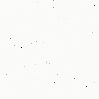 CC(=O)c1cccc(-c2ccc([N+](=O)[O-])c(NCc3ccccc3)c2)c1